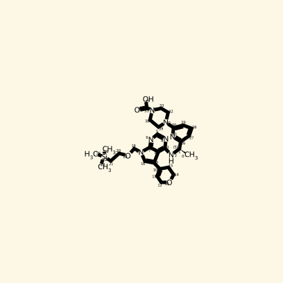 C[C@H](Nc1ncnc2c1c(C1=CCOCC1)cn2COCC[Si](C)(C)C)c1cccc(N2CCN(C(=O)O)CC2)n1